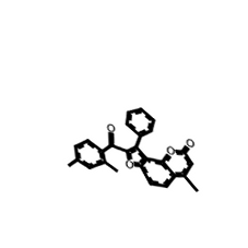 Cc1ccc(C(=O)c2oc3ccc4c(C)cc(=O)oc4c3c2-c2ccccc2)c(C)c1